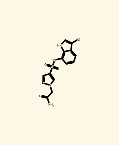 NC(=O)Cn1cc(S(=O)(=O)Nc2cccc3c(Cl)c[nH]c23)cn1